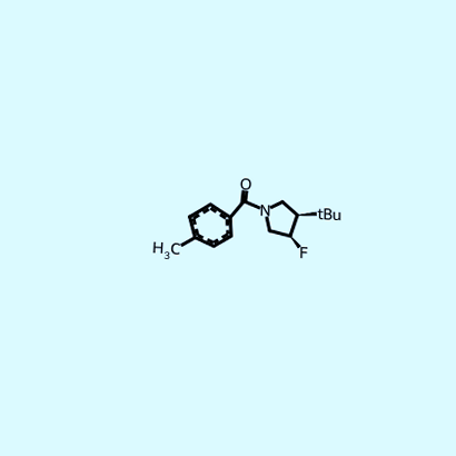 Cc1ccc(C(=O)N2C[C@@H](C(C)(C)C)[C@@H](F)C2)cc1